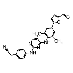 Cc1cc(-c2ccc(C=O)o2)cc(C)c1Nc1ccnc(Nc2ccc(CC#N)cc2)n1